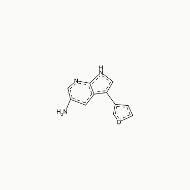 Nc1cnc2[nH]cc(-c3ccoc3)c2c1